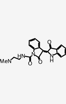 CNCCNC(=O)N1C(=O)/C(=C2\Nc3ccccc3C2=O)c2ccccc21